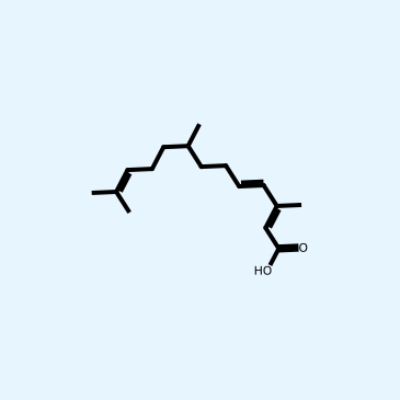 CC(C)=CCCC(C)CCC=CC(C)=CC(=O)O